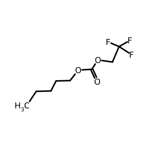 CCCCCOC(=O)OCC(F)(F)F